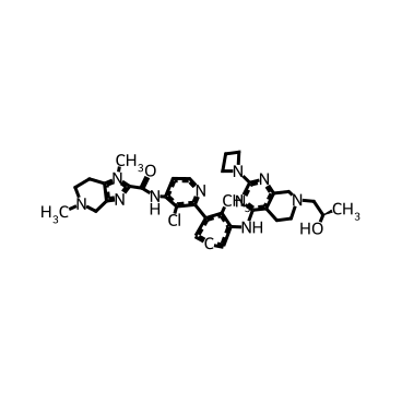 Cc1c(Nc2nc(N3CCC3)nc3c2CCN(C[C@@H](C)O)C3)cccc1-c1nccc(NC(=O)c2nc3c(n2C)CCN(C)C3)c1Cl